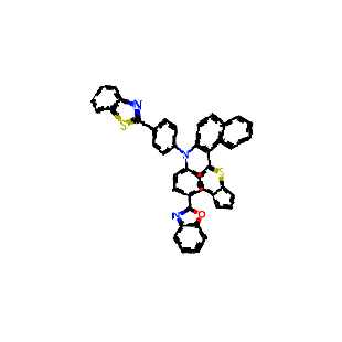 c1cc2ccc(-c3c(N(c4ccc(-c5nc6ccccc6o5)cc4)c4ccc(-c5nc6ccccc6s5)cc4)ccc4ccccc34)sc-2c1